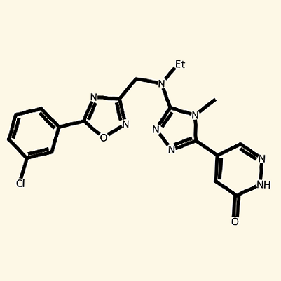 CCN(Cc1noc(-c2cccc(Cl)c2)n1)c1nnc(-c2cn[nH]c(=O)c2)n1C